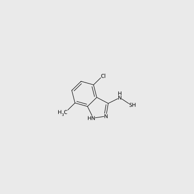 Cc1ccc(Cl)c2c(NS)n[nH]c12